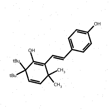 CC1(C)C=CC(C(C)(C)C)(C(C)(C)C)C(O)=C1C=Cc1ccc(O)cc1